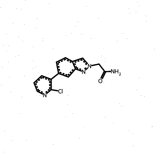 NC(=O)Cn1cc2ccc(-c3cccnc3Cl)cc2n1